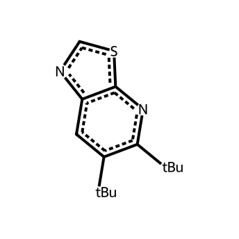 CC(C)(C)c1cc2ncsc2nc1C(C)(C)C